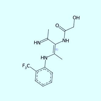 CC(=N)/C(NC(=O)CO)=C(/C)Nc1ccccc1C(F)(F)F